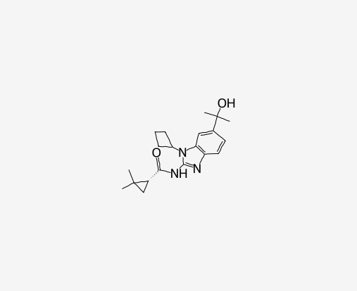 CC(C)(O)c1ccc2nc(NC(=O)[C@@H]3CC3(C)C)n(C3CCC3)c2c1